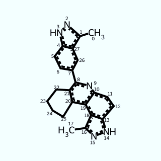 Cc1n[nH]c2ccc(-c3nc4ccc5[nH]nc(C)c5c4c4c3CCCC4)cc12